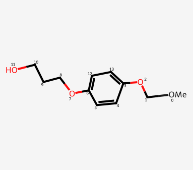 COCOc1ccc(OCCCO)cc1